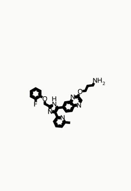 Cc1cccc(-c2nc(COc3ccccc3F)[nH]c2-c2ccc3ncc(OCCCN)nc3c2)n1